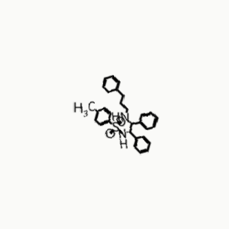 Cc1ccc(S(=O)(=O)N[C@@H](c2ccccc2)[C@@H](NCCCC2C=CC=CC2)c2ccccc2)cc1